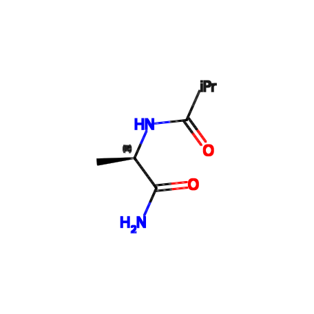 CC(C)C(=O)N[C@H](C)C(N)=O